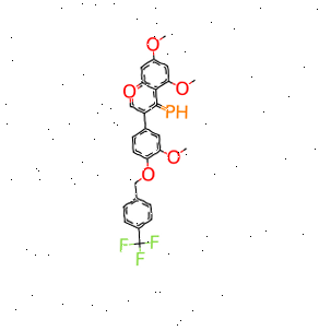 COc1cc(OC)c2c(=P)c(-c3ccc(OCc4ccc(C(F)(F)F)cc4)c(OC)c3)coc2c1